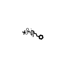 C[C@H](CC(CCc1ccccc1)N(C)C)NC(=O)OC(C)(C)C